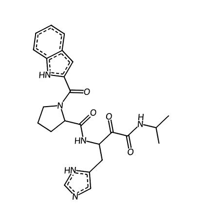 CC(C)NC(=O)C(=O)C(Cc1cnc[nH]1)NC(=O)C1CCCN1C(=O)c1cc2ccccc2[nH]1